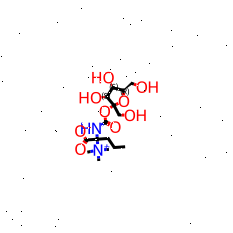 CCCC(NC(=O)OC1(CO)O[C@H](CO)[C@@H](O)[C@@H]1O)(C(=O)[O-])[N+](C)(C)C